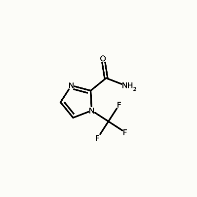 NC(=O)c1nccn1C(F)(F)F